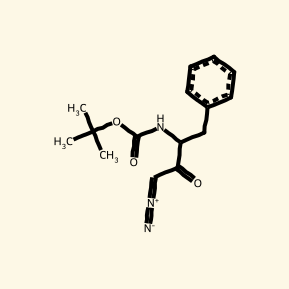 CC(C)(C)OC(=O)NC(Cc1ccccc1)C(=O)C=[N+]=[N-]